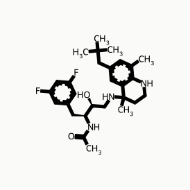 CC(=O)N[C@@H](Cc1cc(F)cc(F)c1)[C@@H](O)CNC1(C)CCNc2c(C)cc(CC(C)(C)C)cc21